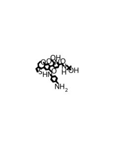 CC(C)(O)CNC(=O)c1ccc(-c2cc3c(cc2C(=O)Nc2ccc(CN)cc2)-c2sccc2CCO3)c(C(=O)O)n1